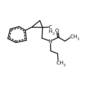 CCCN(CC1(C)CC1c1ccccc1)C(=O)CC